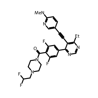 CCc1ncnc(-c2cc(F)c(C(=O)N3CCN(CC(F)F)CC3)c(F)c2)c1C#Cc1ccc(NC)nc1